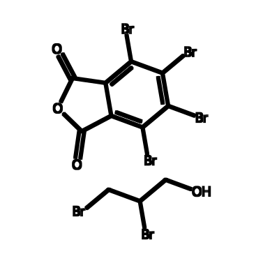 O=C1OC(=O)c2c(Br)c(Br)c(Br)c(Br)c21.OCC(Br)CBr